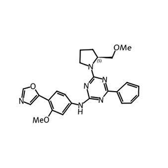 COC[C@@H]1CCCN1c1nc(Nc2ccc(-c3cnco3)c(OC)c2)nc(-c2ccccc2)n1